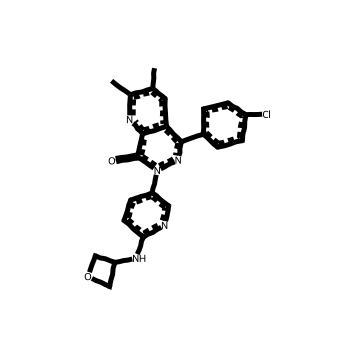 Cc1cc2c(-c3ccc(Cl)cc3)nn(-c3ccc(NC4COC4)nc3)c(=O)c2nc1C